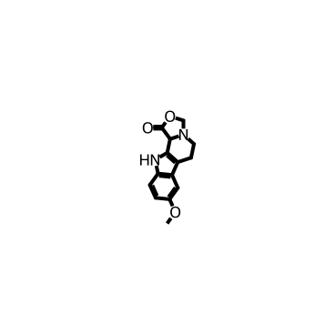 COc1ccc2[nH]c3c(c2c1)CCN1COC(=O)C31